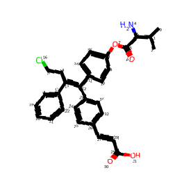 CC(C)C(N)C(=O)Oc1ccc(/C(=C(\CCCl)c2ccccc2)c2ccc(/C=C/C(=O)O)cc2)cc1